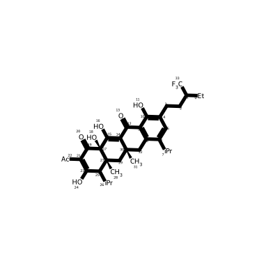 CCC(CCc1cc(C(C)C)c2c(c1O)C(=O)C1=C(O)[C@@]3(O)C(=O)C(C(C)=O)=C(O)C(C(C)C)[C@@]3(C)C[C@@]1(C)C2)C(F)(F)F